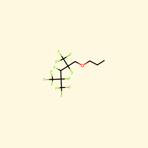 CCCOCC(F)(C(F)C(F)(C(F)(F)F)C(F)(F)F)C(F)(F)F